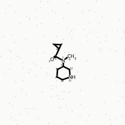 CN(C(=O)C1CC1)C1CCCNC1